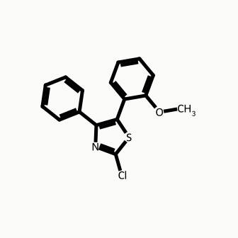 COc1ccccc1-c1sc(Cl)nc1-c1ccccc1